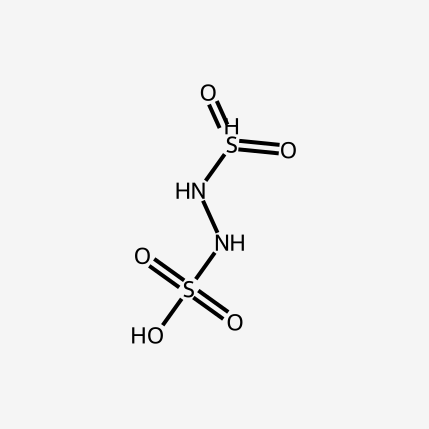 O=[SH](=O)NNS(=O)(=O)O